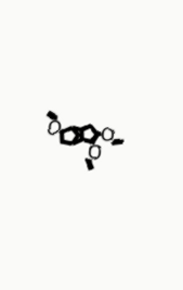 C=COC1CC2CC1C1CC(OC=C)C(OC=C)C21